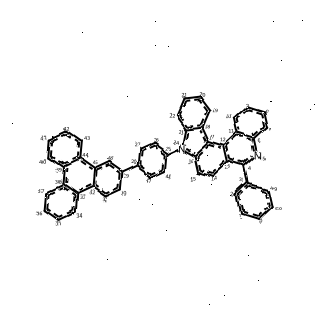 c1ccc(-c2nc3ccccc3c3c2ccc2c3c3ccccc3n2-c2ccc(-c3ccc4c5ccccc5c5ccccc5c4c3)cc2)cc1